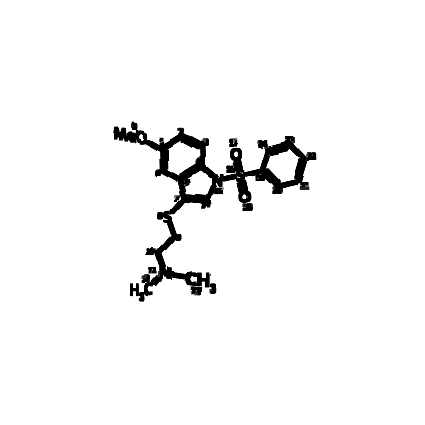 COc1ccc2c(c1)c(SCCN(C)C)cn2S(=O)(=O)c1ccccc1